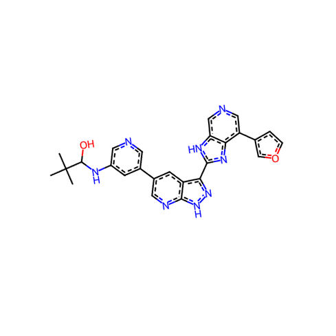 CC(C)(C)C(O)Nc1cncc(-c2cnc3[nH]nc(-c4nc5c(-c6ccoc6)cncc5[nH]4)c3c2)c1